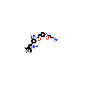 C/C=c1/[nH]c(-c2ccc(NC(=O)Cc3ccc(NC(=O)/C=C/CN(C)C)cc3)cc2)c/c1=C(\C)CCC